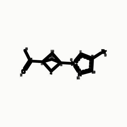 CC(=O)C12CC(n3cc(Br)cn3)(C1)C2